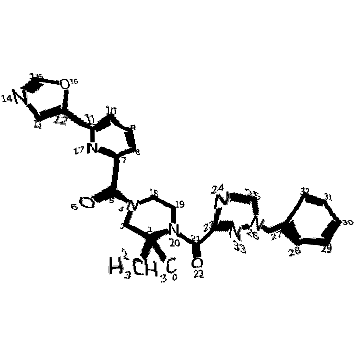 CC1(C)CN(C(=O)c2cccc(-c3cnco3)n2)CCN1C(=O)c1ncn(-c2ccccc2)n1